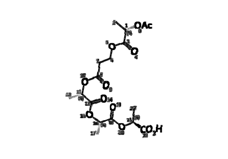 CC(=O)O[C@@H](C)C(=O)OCCC(=O)O[C@@H](C)C(=O)O[C@@H](C)C(=O)O[C@@H](C)C(=O)O